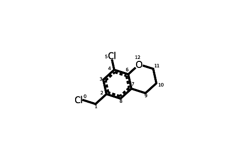 ClCc1cc(Cl)c2c(c1)CCCO2